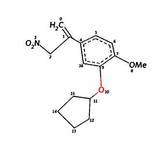 C=C(C[N+](=O)[O-])c1ccc(OC)c(OC2CCCC2)c1